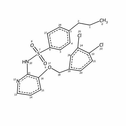 CCCc1ccc(S(=O)(=O)Nc2ncccc2OCc2ccc(Cl)c(Cl)c2)cc1